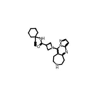 C#CC1(NC(=O)C2CN(c3c4c(nc5ccnn35)CCNCC4)C2)CCCCC1